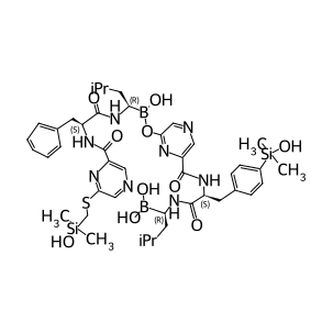 CC(C)C[C@H](NC(=O)[C@H](Cc1ccc([Si](C)(C)O)cc1)NC(=O)c1cncc(OB(O)[C@H](CC(C)C)NC(=O)[C@H](Cc2ccccc2)NC(=O)c2cncc(SC[Si](C)(C)O)n2)n1)B(O)O